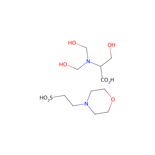 O=C(O)C(CO)N(CO)CO.O=S(=O)(O)CCN1CCOCC1